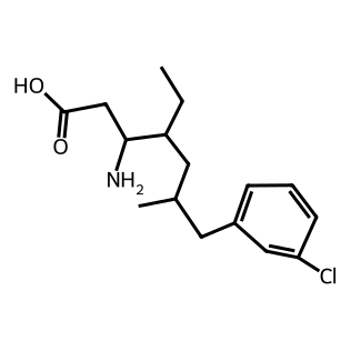 CCC(CC(C)Cc1cccc(Cl)c1)C(N)CC(=O)O